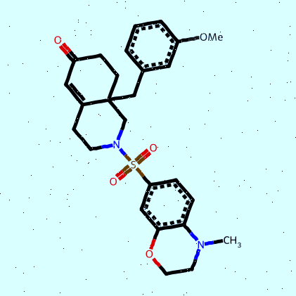 COc1cccc(CC23CCC(=O)C=C2CCN(S(=O)(=O)c2ccc4c(c2)OCCN4C)C3)c1